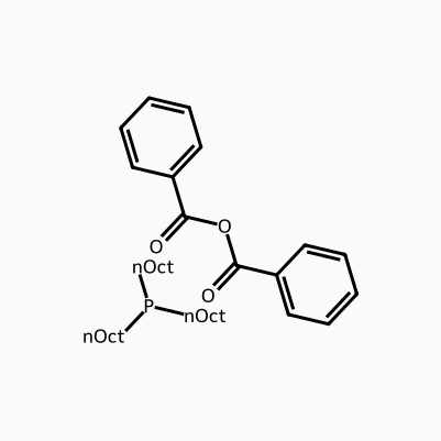 CCCCCCCCP(CCCCCCCC)CCCCCCCC.O=C(OC(=O)c1ccccc1)c1ccccc1